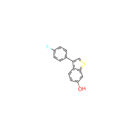 Oc1ccc2c(-c3ccc(F)cc3)csc2c1